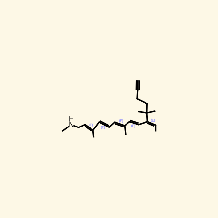 C#CCCC(C)(C)C(/C=C/C(C)=C/C=C/C(C)=C/CNC)=C/C